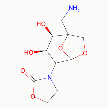 NCC12COC(O1)C(N1CCOC1=O)[C@@H](O)[C@H]2O